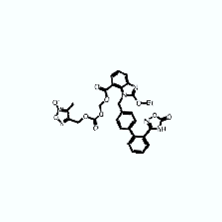 CCOc1nc2cccc(C(=O)OCOC(=O)OCc3no[n+]([O-])c3C)c2n1Cc1ccc(-c2ccccc2-c2noc(=O)[nH]2)cc1